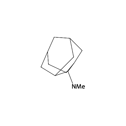 CNC1C2CCC3CC(C2)CC1C3